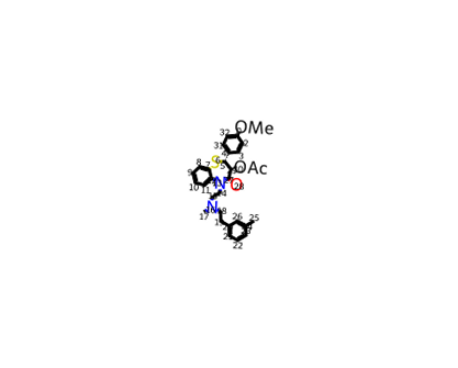 COc1ccc([C@H]2Sc3ccccc3N(CCN(C)CCc3cccc(C)c3)C(=O)[C@H]2OC(C)=O)cc1